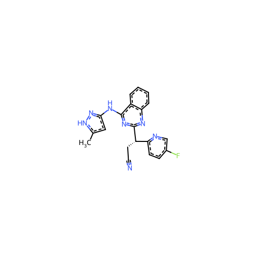 Cc1cc(Nc2nc([C@@H](CC#N)c3ccc(F)cn3)nc3ccccc23)n[nH]1